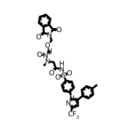 Cc1ccc(-c2cc(C(F)(F)F)nn2-c2ccc(S(=O)(=O)NC(=O)CN(C)/[N+]([O-])=N/OCN3C(=O)c4ccccc4C3=O)cc2)cc1